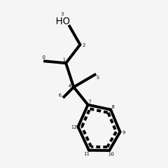 CC(CO)C(C)(C)c1ccccc1